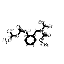 CCC(CC)N(Cc1ccccc1NC(=O)OC(C)Cl)C(=O)OC(C)(C)C